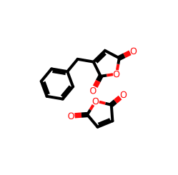 O=C1C=C(Cc2ccccc2)C(=O)O1.O=C1C=CC(=O)O1